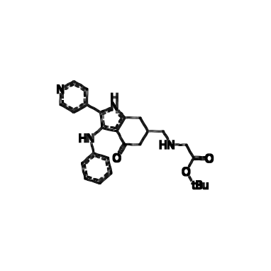 CC(C)(C)OC(=O)CNCC1CC(=O)c2c([nH]c(-c3ccncc3)c2Nc2ccccc2)C1